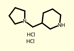 C1CNCC(CN2CCCC2)C1.Cl.Cl